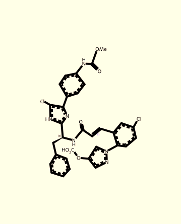 COC(=O)Nc1ccc(-c2nc([C@H](Cc3ccccc3)NC(=O)/C=C/c3cc(Cl)ccc3-n3cc(OC(=O)O)cn3)[nH]c2Cl)cc1